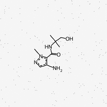 Cn1ncc(N)c1C(=O)NC(C)(C)CO